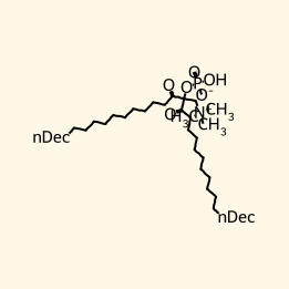 CCCCCCCCCCCCCCCCCCCCC(=O)C(C[N+](C)(C)C)(OP(=O)([O-])O)C(=O)CCCCCCCCCCCCCCCCCCCC